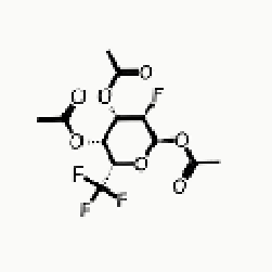 CC(=O)O[C@H]1O[C@H](C(F)(F)F)[C@H](OC(C)=O)[C@H](OC(C)=O)[C@H]1F